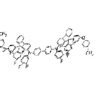 C=Cc1ccc(Oc2ccc(C3(c4c(F)cc(F)cc4F)c4ccccc4-c4ccc(N(c5ccc(-c6ccc(N(c7ccc(F)c(F)c7)c7ccc8c(c7)C(c7ccc(Oc9ccc(C=C)cc9)cc7)(c7c(F)cc(F)cc7F)c7ccccc7-8)cc6)cc5)c5ccc(F)c(F)c5)cc43)cc2)cc1